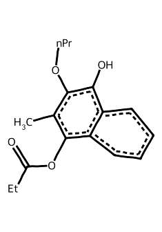 CCCOc1c(C)c(OC(=O)CC)c2ccccc2c1O